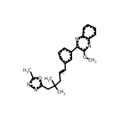 COc1nc2ccccc2nc1-c1cccc(/C=C/CC(C)(C)Cc2nnc(C)o2)c1